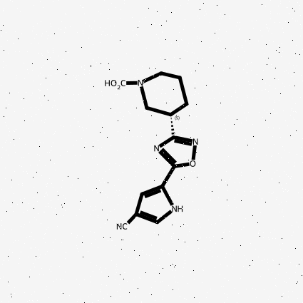 N#Cc1c[nH]c(-c2nc([C@H]3CCCN(C(=O)O)C3)no2)c1